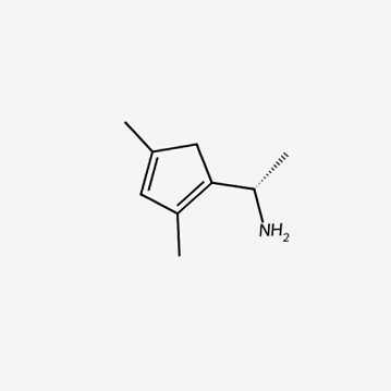 CC1=CC(C)=C([C@H](C)N)C1